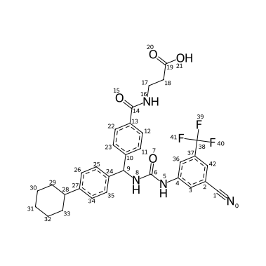 N#Cc1cc(NC(=O)NC(c2ccc(C(=O)NCCC(=O)O)cc2)c2ccc(C3CCCCC3)cc2)cc(C(F)(F)F)c1